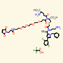 CC(C)(C)[C@H](c1cc(-c2cc(F)ccc2F)cn1Cc1ccccc1)N(CCCN)C(=O)CSC[C@@H](C(=O)O)N(C(=O)CCOCCOCCOCCOCCNC(=O)CCN1C(=O)C=CC1=O)C(=O)CC[C@H](N)C(=O)O.O=C(O)C(F)(F)F